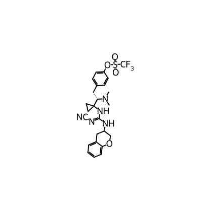 CN(C)[C@@H](Cc1ccc(OS(=O)(=O)C(F)(F)F)cc1)C1(NC(=NC#N)N[C@H]2COc3ccccc3C2)CC1